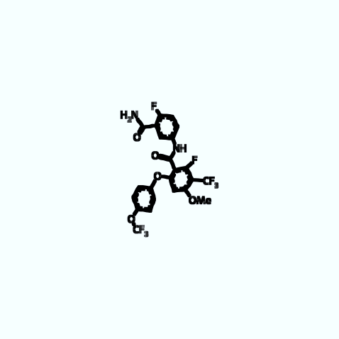 COc1cc(Oc2ccc(OC(F)(F)F)cc2)c(C(=O)Nc2ccc(F)c(C(N)=O)c2)c(F)c1C(F)(F)F